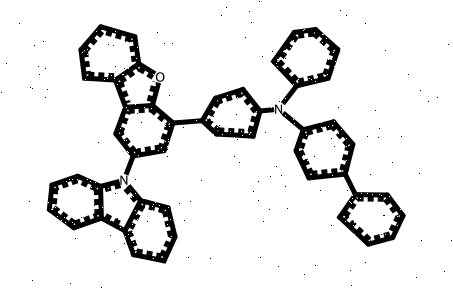 c1ccc(-c2ccc(N(c3ccccc3)c3ccc(-c4cc(-n5c6ccccc6c6ccccc65)cc5c4oc4ccccc45)cc3)cc2)cc1